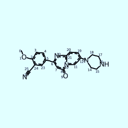 COc1ccc(-c2cc(=O)n3cc(N4CCNCC4)ccc3n2)cc1C#N